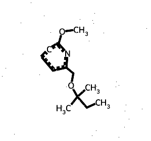 CCC(C)(C)OCc1cccc(OC)n1